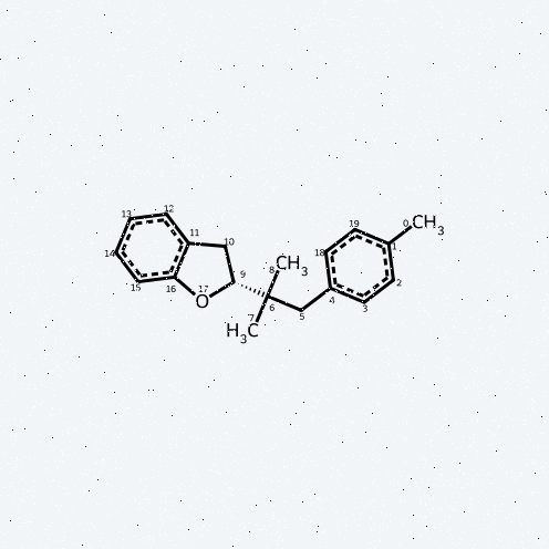 Cc1ccc(CC(C)(C)[C@H]2Cc3ccccc3O2)cc1